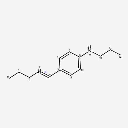 CCC/N=C/c1ccc(NCCC)cc1